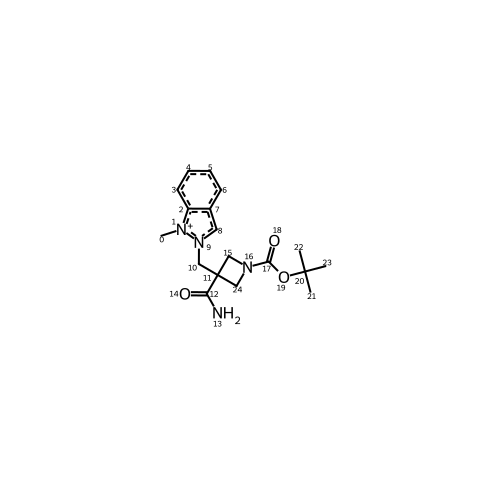 C[n+]1c2ccccc2cn1CC1(C(N)=O)CN(C(=O)OC(C)(C)C)C1